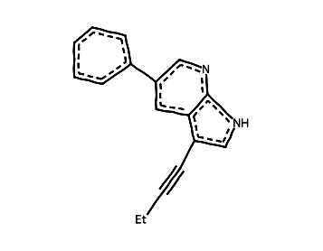 CCC#Cc1c[nH]c2ncc(-c3ccccc3)cc12